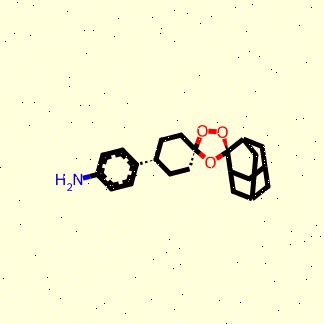 Nc1ccc([C@H]2CC[C@]3(CC2)OO[C@]2(O3)C3CC4CC(C3)CC2C4)cc1